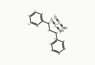 N=C=O.N=C=O.c1ccc(CCCc2ccccc2)cc1